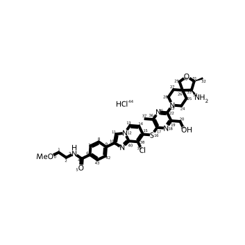 COCCNC(=O)c1ccc(-c2cn3ccc(Sc4nc(CO)c(N5CCC6(CC5)CO[C@@H](C)[C@H]6N)nc4C)c(Cl)c3n2)cc1.Cl